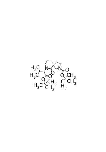 CC(C)[C@@H](C(=O)OC(C)(C)C)N1CCC[C@@]2(CCN(C(=O)OC(C)(C)C)C2)C1=O